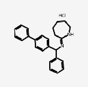 Cl.c1ccc(-c2ccc(C(N=C3CCCCCN3)c3ccccc3)cc2)cc1